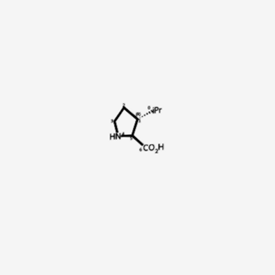 CC(C)[C@H]1CCNC1C(=O)O